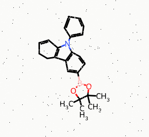 CC1(C)OB(c2ccc3c(c2)c2c(n3-c3ccccc3)C=CCC2)OC1(C)C